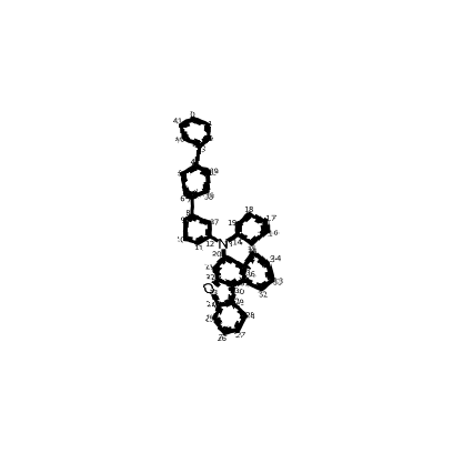 c1ccc(-c2ccc(-c3cccc(N(c4ccccc4)c4cc5oc6ccccc6c5c5ccccc45)c3)cc2)cc1